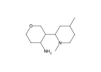 CC1CCN(C)C(C2COCCC2N)C1